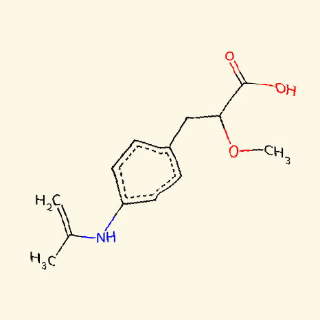 C=C(C)Nc1ccc(CC(OC)C(=O)O)cc1